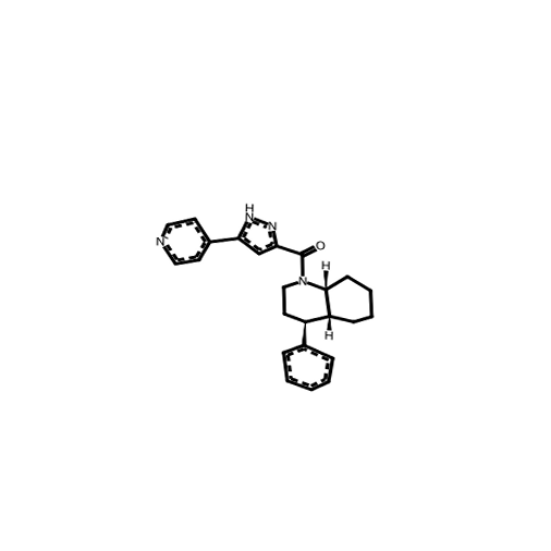 O=C(c1cc(-c2ccncc2)[nH]n1)N1CC[C@H](c2ccccc2)[C@H]2CCCC[C@H]21